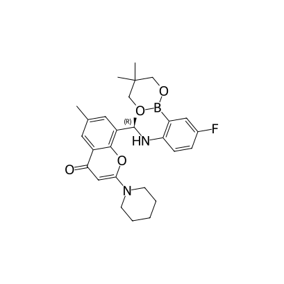 Cc1cc([C@@H](C)Nc2ccc(F)cc2B2OCC(C)(C)CO2)c2oc(N3CCCCC3)cc(=O)c2c1